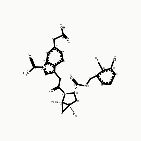 NC(=O)n1cc(CC(=O)N2[C@@H]3C[C@@H]3C[C@H]2C(=O)NCc2cccc(Cl)c2F)c2ccc(CC(=O)O)cc21